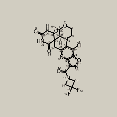 C[C@@H]1OCCN2c3c(nc4c(C(=O)N5CC(F)(F)C5)noc4c3Cl)CC3(C(=O)NC(=O)NC3=O)[C@@H]12